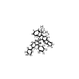 CC1(C)c2ccccc2-c2c1c1ccc3c4ccccc4sc3c1n2-c1nc(-c2ccccc2)c2cc(-c3ccccc3)ccc2n1